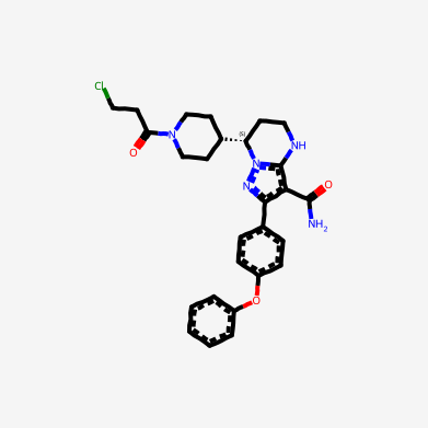 NC(=O)c1c(-c2ccc(Oc3ccccc3)cc2)nn2c1NCC[C@H]2C1CCN(C(=O)CCCl)CC1